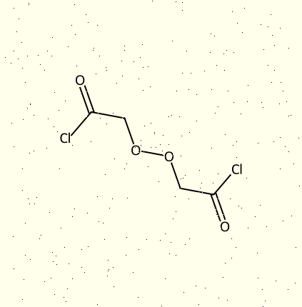 O=C(Cl)COOCC(=O)Cl